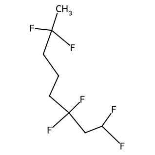 CC(F)(F)CCCC(F)(F)CC(F)F